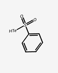 O=S(=O)([TeH])c1ccccc1